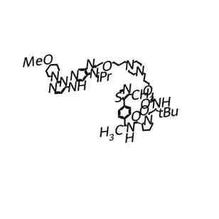 COC1CCN(c2nccc(Nc3cc4c(cn3)nc(COCCCN3CCN(CCCOCC(=O)N[C@H](C(=O)N5CCC[C@H]5C(=O)N[C@@H](C)c5ccc(-c6scnc6C)cc5)C(C)(C)C)CC3)n4C(C)C)n2)CC1